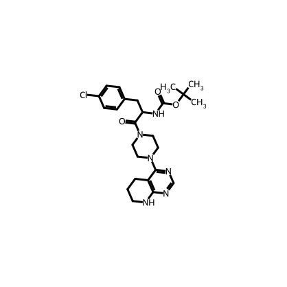 CC(C)(C)OC(=O)NC(Cc1ccc(Cl)cc1)C(=O)N1CCN(c2ncnc3c2CCCN3)CC1